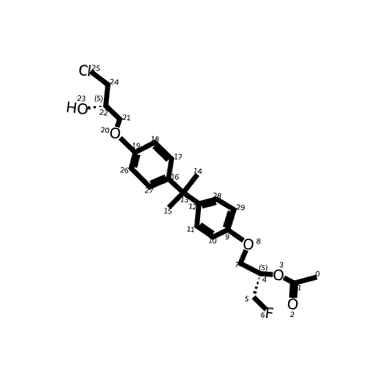 CC(=O)O[C@H](CF)COc1ccc(C(C)(C)c2ccc(OC[C@H](O)CCl)cc2)cc1